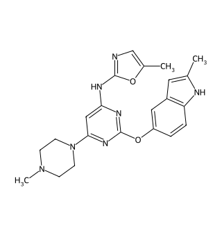 Cc1cc2cc(Oc3nc(Nc4ncc(C)o4)cc(N4CCN(C)CC4)n3)ccc2[nH]1